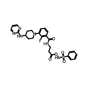 O=C(CCNC(=O)c1cccc(N2CCC(Nc3ncccn3)CC2)c1F)ONS(=O)(=O)c1ccccc1